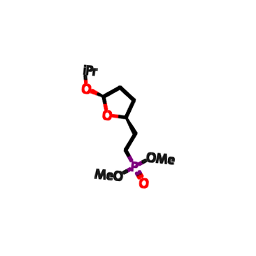 COP(=O)(CC[C@@H]1CC[C@H](OC(C)C)O1)OC